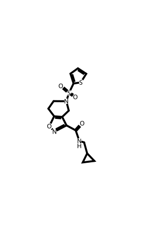 O=C(NCC1CC1)c1noc2c1CN(S(=O)(=O)c1cccs1)CC2